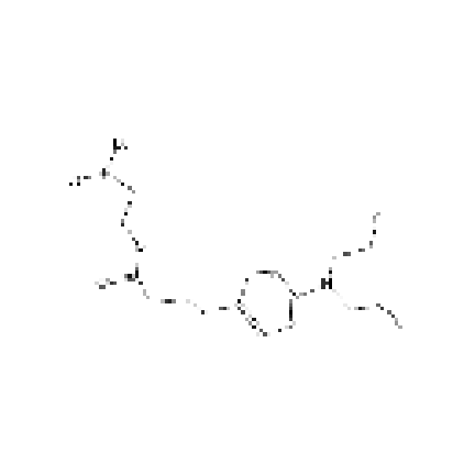 CCN(CC)CCOC(=O)CCCc1ccc(N(CCCl)CCCl)cc1